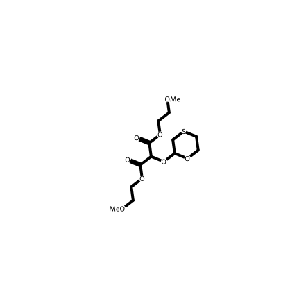 COCCOC(=O)C(OC1CSCCO1)C(=O)OCCOC